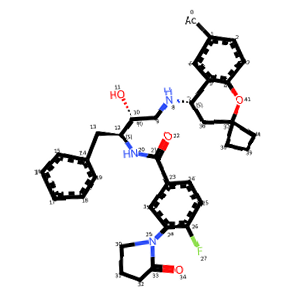 CC(=O)c1ccc2c(c1)[C@@H](NC[C@@H](O)[C@H](Cc1ccccc1)NC(=O)c1ccc(F)c(N3CCCC3=O)c1)CC1(CCC1)O2